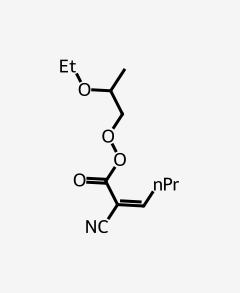 CCCC=C(C#N)C(=O)OOCC(C)OCC